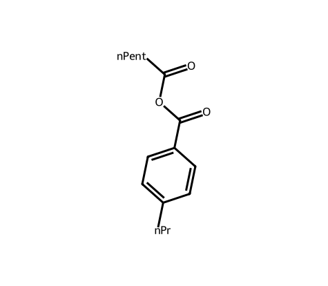 CCCCCC(=O)OC(=O)c1ccc(CCC)cc1